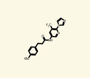 CC(C)(C)c1ccc(CCC(=O)Nc2cnc(-n3ccnc3)c(C(F)(F)F)c2)cc1